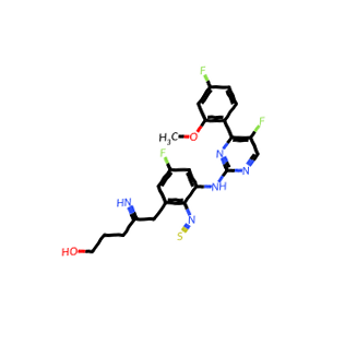 COc1cc(F)ccc1-c1nc(Nc2cc(F)cc(CC(=N)CCCO)c2N=S)ncc1F